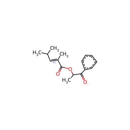 C/C(=C\C(C)C)C(=O)OC(C)C(=O)c1ccccc1